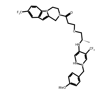 COc1ccc(CN2C=C(C(F)(F)F)C(N[C@@H](C)COCCC(=O)N3CCn4c(cc5cc(C(F)(F)F)ccc54)C3)=CN2)cc1